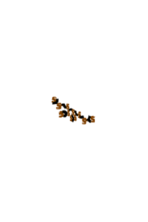 C(CSC(CSCC(SCCSC1CSC1)SC1CSC1)SC1CSC1)SC1CSC1